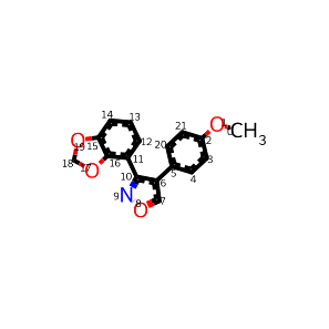 COc1ccc(-c2conc2-c2cccc3c2OCO3)cc1